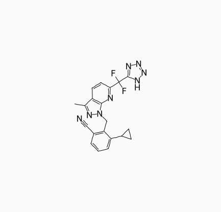 Cc1nn(Cc2c(C#N)cccc2C2CC2)c2nc(C(F)(F)c3nnn[nH]3)ccc12